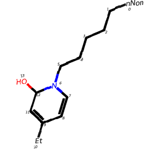 CCCCCCCCCCCCCCN1C=CC(CC)=CC1O